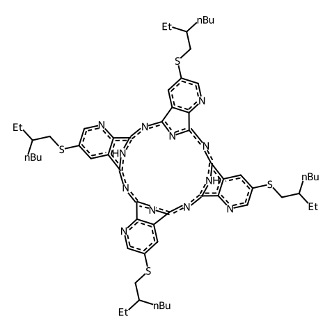 CCCCC(CC)CSc1cnc2c(c1)-c1nc-2nc2[nH]c(nc3nc(nc4[nH]c(n1)c1ncc(SCC(CC)CCCC)cc41)-c1ncc(SCC(CC)CCCC)cc1-3)c1ncc(SCC(CC)CCCC)cc21